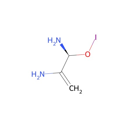 C=C(N)[C@@H](N)OI